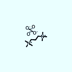 C[N+](C)(C)CCC[N+](C)(C)C.O=S(=O)([O-])[O-]